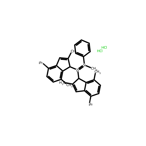 CC1=Cc2c(C(C)C)ccc(C)c2[CH]1[Zr]([CH]1C(C)=Cc2c(C(C)C)ccc(C)c21)=[Si](C)c1ccccc1.Cl.Cl